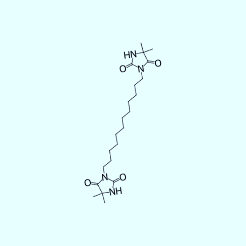 CC1(C)NC(=O)N(CCCCCCCCCCCCN2C(=O)NC(C)(C)C2=O)C1=O